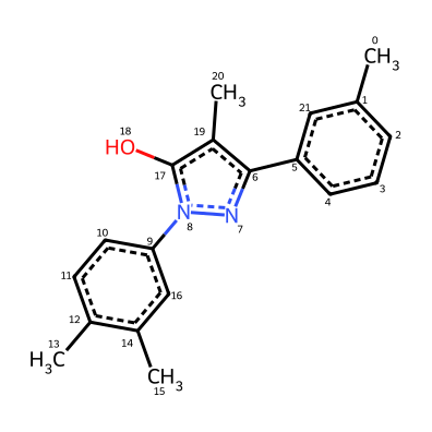 Cc1cccc(-c2nn(-c3ccc(C)c(C)c3)c(O)c2C)c1